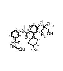 CCC(C)C1CCN(c2nc(NC(C)(C)CO)cnc2C(=O)Nc2cccc(S(=O)(=O)NC(C)(C)C)c2)CC1